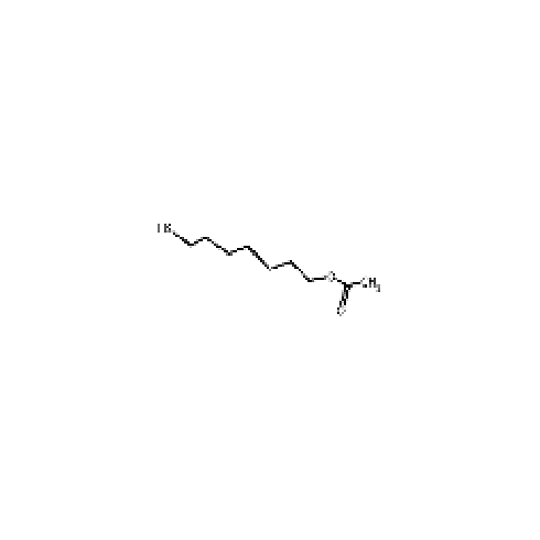 CC(=O)OCCCCCCCS